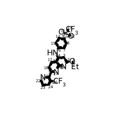 CCOc1cc(Nc2ccc(S(=O)(=O)C(F)(F)F)cc2)c2ccc(-c3ncccc3C(F)(F)F)nc2n1